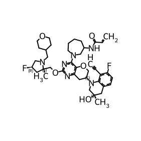 C#Cc1c(F)ccc2c1N([C@@H]1COc3c(nc(OC[C@]4(C)C[C@@H](F)CN4CC4CCOCC4)nc3N3CCCCC(NC(=O)C=C)C3)C1)C[C@@](C)(O)C2